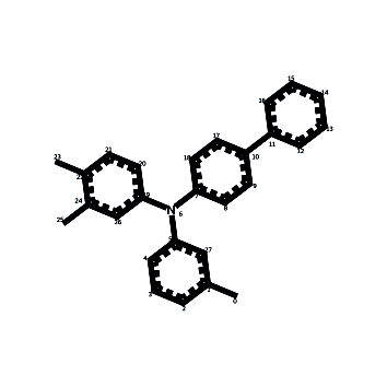 Cc1cccc(N(c2ccc(-c3ccccc3)cc2)c2ccc(C)c(C)c2)c1